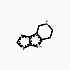 [C]1NCCc2[nH]c3ncsc3c21